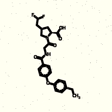 CCc1ccc(Oc2ccc(C(=O)NCC(=O)N3CC(CC(F)F)C[C@H]3C(=O)O)cc2)cc1